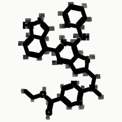 CCOC(=O)c1cnc(N(C)Cc2cc3nc(-c4cccc5[nH]ncc45)nc(Nc4ccccn4)c3s2)nc1